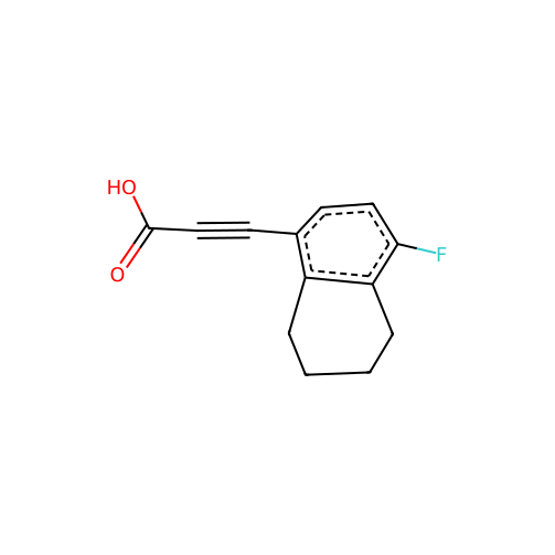 O=C(O)C#Cc1ccc(F)c2c1CCCC2